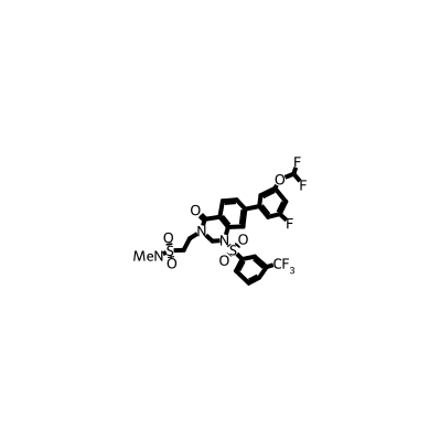 CNS(=O)(=O)CCN1CN(S(=O)(=O)c2cccc(C(F)(F)F)c2)c2cc(-c3cc(F)cc(OC(F)F)c3)ccc2C1=O